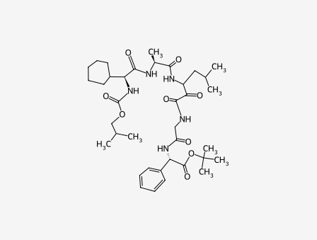 CC(C)COC(=O)N[C@H](C(=O)N[C@@H](C)C(=O)NC(CC(C)C)C(=O)C(=O)NCC(=O)N[C@H](C(=O)OC(C)(C)C)c1ccccc1)C1CCCCC1